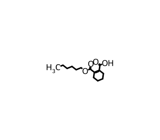 CCCCCCOC(=O)C1=C(C(=O)O)CCCC1